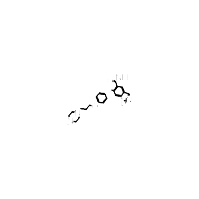 CN1CCN(CCCOc2ccc(Oc3cc4c(cnn4C)cc3C(N)=O)cc2)CC1